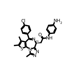 Cc1sc2c(c1C)C(c1ccc(Cl)cc1)=N[C@@H](CC(=O)Nc1ccc(N)cc1)c1nnc(C)n1-2